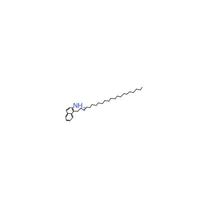 CCCCCCCCCCCCCCCCCCCCCCc1c(N)ccc2ccccc12